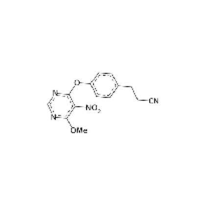 COc1ncnc(Oc2ccc(CCC#N)cc2)c1[N+](=O)[O-]